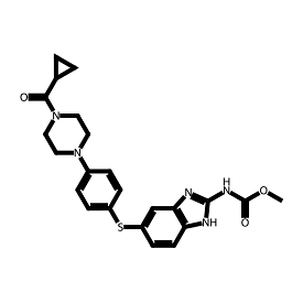 COC(=O)Nc1nc2cc(Sc3ccc(N4CCN(C(=O)C5CC5)CC4)cc3)ccc2[nH]1